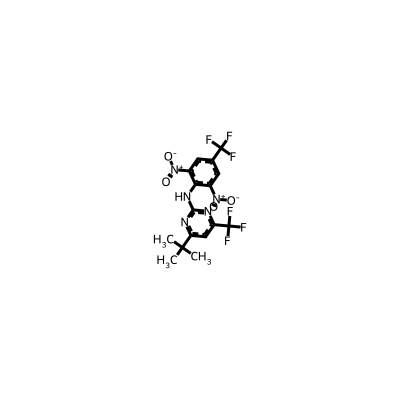 CC(C)(C)c1cc(C(F)(F)F)nc(Nc2c([N+](=O)[O-])cc(C(F)(F)F)cc2[N+](=O)[O-])n1